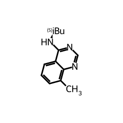 CC[C@H](C)Nc1ncnc2c(C)cccc12